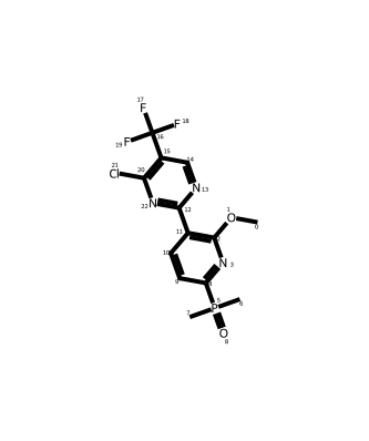 COc1nc(P(C)(C)=O)ccc1-c1ncc(C(F)(F)F)c(Cl)n1